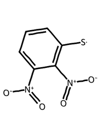 O=[N+]([O-])c1cccc([S])c1[N+](=O)[O-]